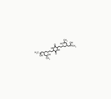 C[C@H](O)CN(CCCCC1NC(=O)C(CCCCN(C[C@@H](C)O)C[C@@H](C)O)NC1=O)C[C@H](C)O